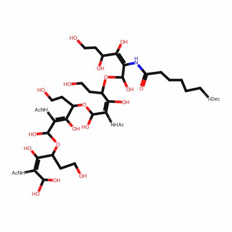 CCCCCCCCCCCCCCCC(=O)N/C(=C(\O)C(O)CCO)C(O)OC(CCO)/C(O)=C(/NC(C)=O)C(O)OC(CCO)/C(O)=C(\NC(C)=O)C(O)OC(CCO)/C(O)=C(/NC(C)=O)C(O)O